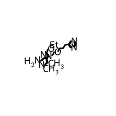 CCOCc1nc2c(N)nc(C)c(C)c2n1CCOCCCc1cncnc1